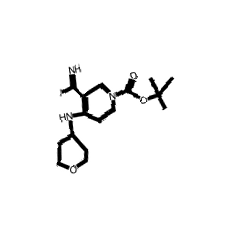 CC(C)(C)OC(=O)N1CCC(NC2CCOCC2)=C(C(=N)I)C1